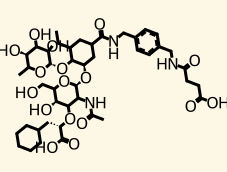 CCC1CC(C(=O)NCc2ccc(CNC(=O)CCC(=O)O)cc2)C[C@@H](O[C@@H]2OC(CO)[C@H](O)C(O[C@@H](CC3CCCCC3)C(=O)O)C2NC(C)=O)C1O[C@@H]1OC(C)[C@@H](O)C(O)C1O